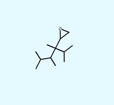 CC(C)C(C)C(C)(C(C)C)C1CO1